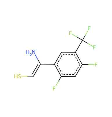 N/C(=C\S)c1cc(C(F)(F)F)c(F)cc1F